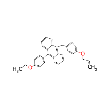 C=CCOc1ccc(Cc2c3ccccc3c(-c3ccc(OCC)cc3)c3ccccc23)cc1